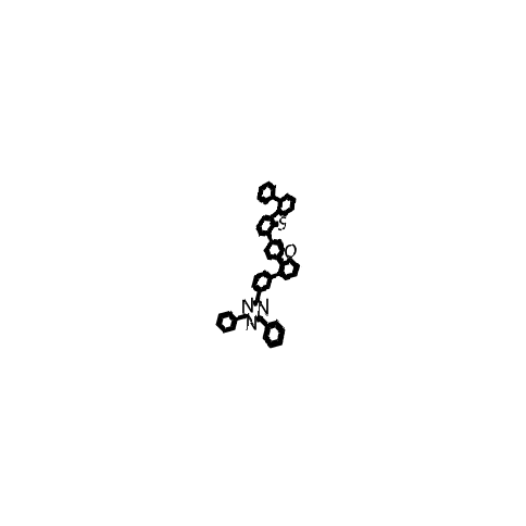 c1ccc(-c2nc(-c3ccccc3)nc(-c3cccc(-c4cccc5oc6cc(-c7cccc8c7sc7cccc(-c9ccccc9)c78)ccc6c45)c3)n2)cc1